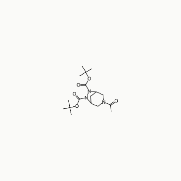 CC(=O)N1CC2CC(C1)N(C(=O)OC(C)(C)C)N2C(=O)OC(C)(C)C